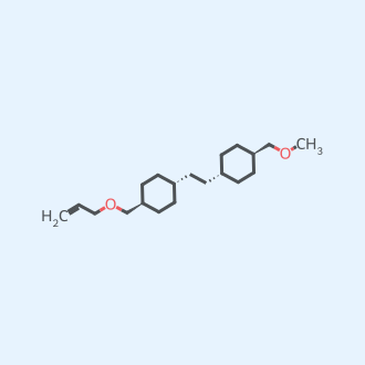 C=CCOC[C@H]1CC[C@H](CC[C@H]2CC[C@H](COC)CC2)CC1